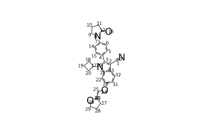 N#Cc1c(-c2ccc(N3CCCC3=O)cc2)n(C2CCC2)c2cc(OC[C@H]3CCCO3)ccc12